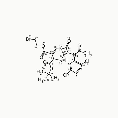 CC(=S)N(c1cc(Cl)ccc1Cl)C1C(=O)N2C=C(C(=O)OCCBr)C(C(=O)OC(C)(C)C)S[C@H]12